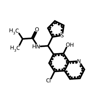 CC(C)C(=O)NC(c1cccs1)c1cc(Cl)c2cccnc2c1O